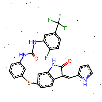 O=C(Nc1cccc(Sc2ccc3c(c2)NC(=O)C3=Cc2ccc[nH]2)c1)Nc1cc(C(F)(F)F)ccc1F